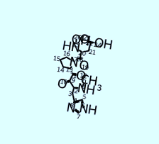 CNC(Cc1c[nH]cn1)C(=O)C(=O)[C@@H]1CCCN1C(=O)[C@H](CC(=O)O)NO